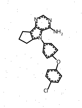 Nc1ncnc2c3c(n(-c4ccc(Oc5ccc(Cl)cc5)cc4)c12)CCC3